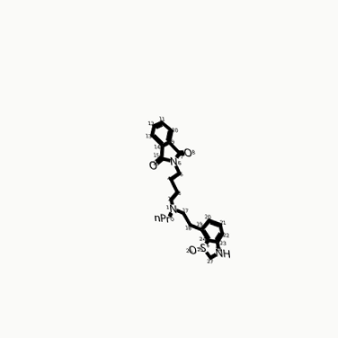 CCCN(CCCCN1C(=O)c2ccccc2C1=O)CCc1cccc2c1[S+]([O-])CN2